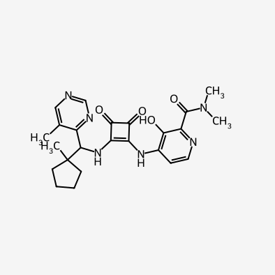 Cc1cncnc1C(Nc1c(Nc2ccnc(C(=O)N(C)C)c2O)c(=O)c1=O)C1(C)CCCC1